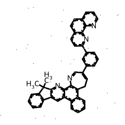 CC1(C)c2ccccc2-c2cc3c(nc21)c1c(c2ccccc23)CC=C(c2cccc(-c3ccc4ccc5cccnc5c4n3)c2)C=N1